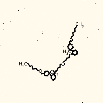 CCCCCCCOCC1=CCC(C)(c2ccccc2CCCCCOCCCCCc2ccccc2C2(C)C=CC(COCCCCCCC)=CC2)C=C1